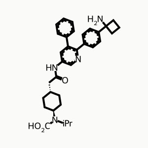 CC(C)N(C(=O)O)[C@H]1CC[C@H](CC(=O)Nc2cnc(-c3ccc(C4(N)CCC4)cc3)c(-c3ccccc3)c2)CC1